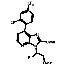 CCC(COC)n1c(OC)nc2c(-c3ccc(C(F)(F)F)cc3Cl)ccnc21